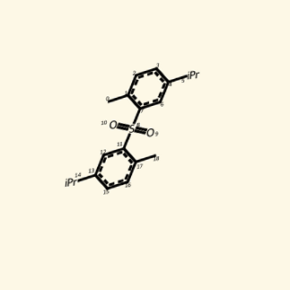 Cc1ccc(C(C)C)cc1S(=O)(=O)c1cc(C(C)C)ccc1C